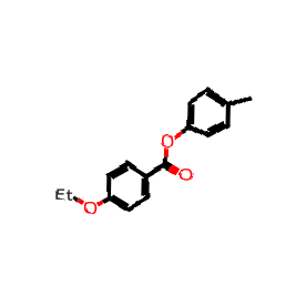 CCOc1ccc(C(=O)Oc2ccc(C)cc2)cc1